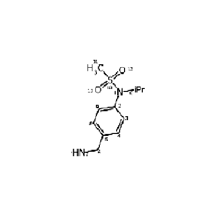 CC(C)N(c1ccc(C[NH])cc1)S(C)(=O)=O